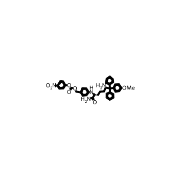 COc1ccc(C(c2ccccc2)(c2ccccc2)C(N)CCC[C@H](Nc2ccc(COC(=O)Oc3ccc([N+](=O)[O-])cc3)cc2)C(N)=O)cc1